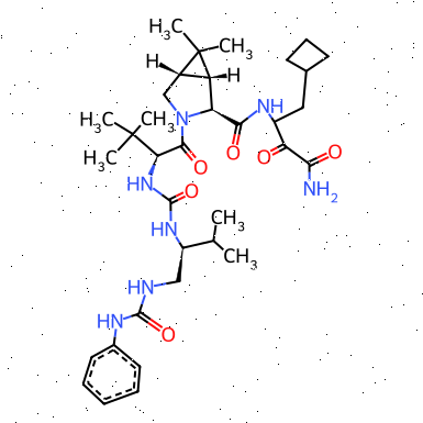 CC(C)[C@@H](CNC(=O)Nc1ccccc1)NC(=O)N[C@H](C(=O)N1C[C@H]2[C@@H]([C@H]1C(=O)NC(CC1CCC1)C(=O)C(N)=O)C2(C)C)C(C)(C)C